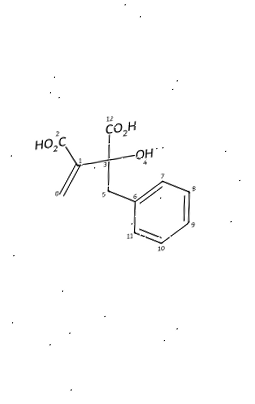 C=C(C(=O)O)C(O)(Cc1ccccc1)C(=O)O